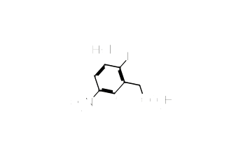 Cl.O=C(O)Cc1cc([N+](=O)[O-])ccc1F